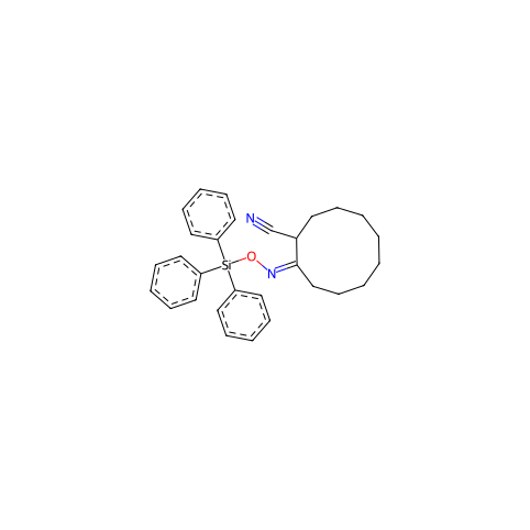 N#CC1CCCCCCCC/C1=N/O[Si](c1ccccc1)(c1ccccc1)c1ccccc1